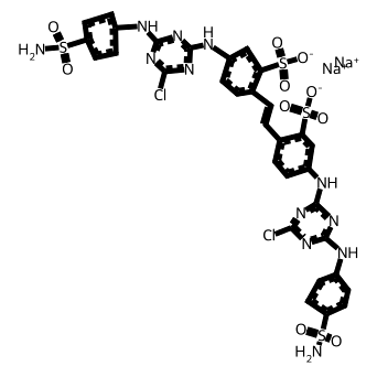 NS(=O)(=O)c1ccc(Nc2nc(Cl)nc(Nc3ccc(C=Cc4ccc(Nc5nc(Cl)nc(Nc6ccc(S(N)(=O)=O)cc6)n5)cc4S(=O)(=O)[O-])c(S(=O)(=O)[O-])c3)n2)cc1.[Na+].[Na+]